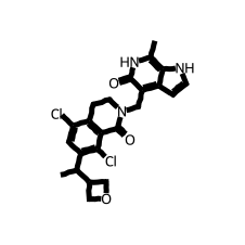 Cc1[nH]c(=O)c(CN2CCc3c(Cl)cc(C(C)C4COC4)c(Cl)c3C2=O)c2cc[nH]c12